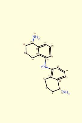 N[C@@H]1CCCc2c(Nc3cccc4c3CCC[C@H]4N)cccc21